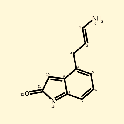 NC=CCc1cccc2c1=CC(=O)N=2